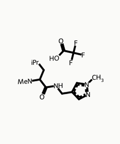 CNC(CC(C)C)C(=O)NCc1cnn(C)c1.O=C(O)C(F)(F)F